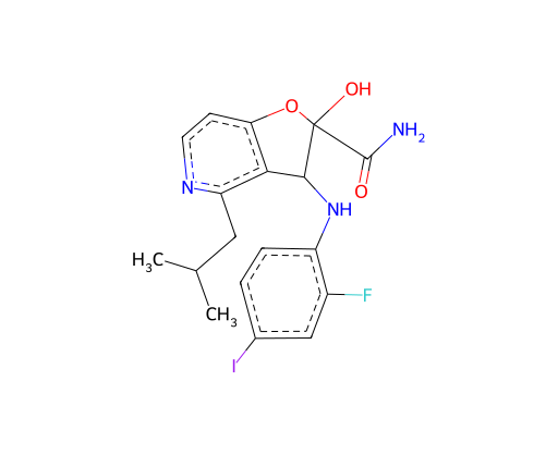 CC(C)Cc1nccc2c1C(Nc1ccc(I)cc1F)C(O)(C(N)=O)O2